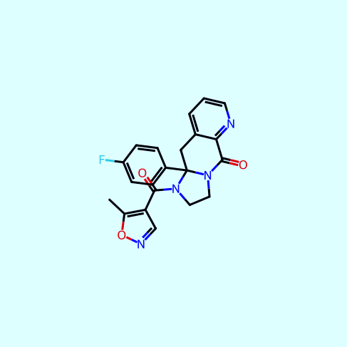 Cc1oncc1C(=O)N1CCN2C(=O)c3ncccc3CC12c1ccc(F)cc1